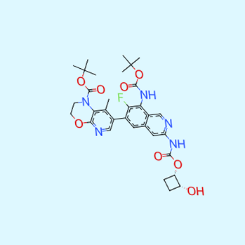 Cc1c(-c2cc3cc(NC(=O)O[C@H]4CC[C@H]4O)ncc3c(NC(=O)OC(C)(C)C)c2F)cnc2c1N(C(=O)OC(C)(C)C)CCO2